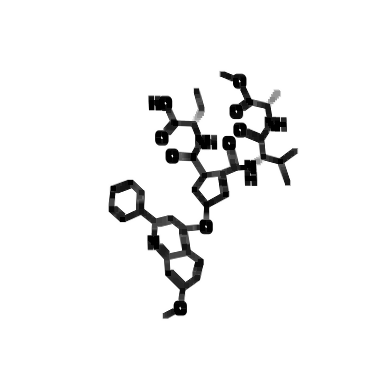 CC[C@H](NC(=O)C1CC(Oc2cc(-c3ccccc3)nc3cc(OC)ccc23)C=C1C(=O)N[C@H](C(=O)N[C@@H](C)C(=O)OC)C(C)C)C(=O)O